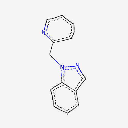 [c]1ccc2c(c1)cnn2Cc1ccccn1